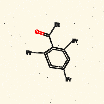 CCC(=O)c1c(C(C)C)cc(C(C)C)cc1C(C)C